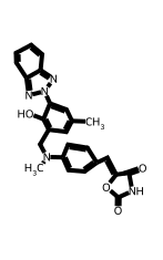 Cc1cc(CN(C)c2ccc(C=C3OC(=O)NC3=O)cc2)c(O)c(-n2nc3ccccc3n2)c1